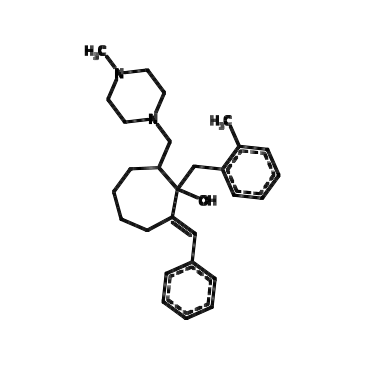 Cc1ccccc1CC1(O)C(=Cc2ccccc2)CCCCC1CN1CCN(C)CC1